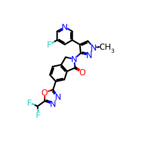 Cn1cc(-c2cncc(F)c2)c(N2Cc3ccc(-c4nnc(C(F)F)o4)cc3C2=O)n1